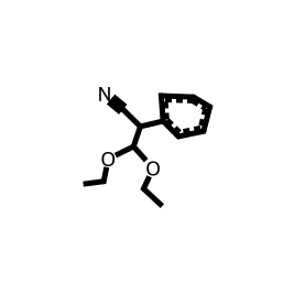 CCOC(OCC)C(C#N)c1ccccc1